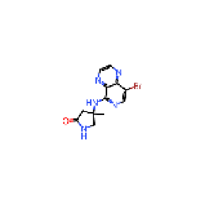 CC1(Nc2ncc(Br)c3nccnc23)CNC(=O)C1